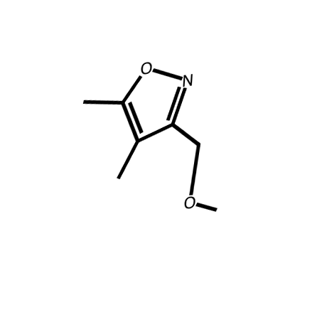 COCc1noc(C)c1C